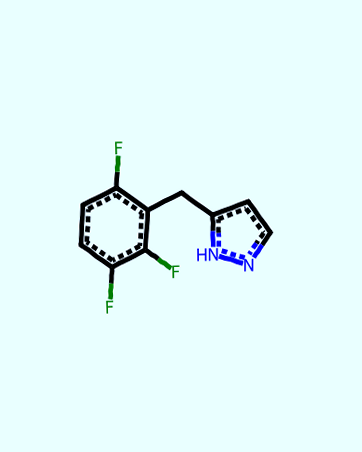 Fc1ccc(F)c(Cc2ccn[nH]2)c1F